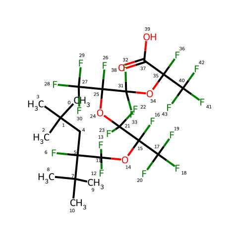 CC(C)(C)CC(F)(C(C)(C)C)C(F)(F)OC(F)(C(F)(F)F)C(F)(F)OC(F)(C(F)(F)F)C(F)(F)OC(F)(C(=O)O)C(F)(F)F